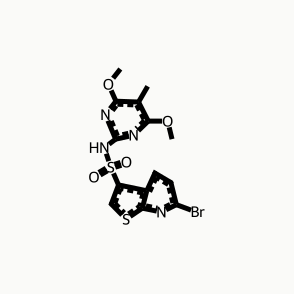 COc1nc(NS(=O)(=O)c2csc3nc(Br)ccc23)nc(OC)c1C